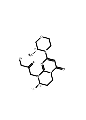 CC(C)CC(=O)CN1c2nc(N3CCOC[C@H]3C)cc(=O)n2CC[C@H]1C(F)(F)F